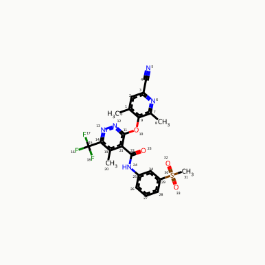 Cc1cc(C#N)nc(C)c1Oc1nnc(C(F)(F)F)c(C)c1C(=O)Nc1cccc(S(C)(=O)=O)c1